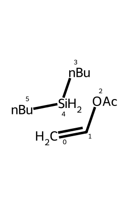 C=COC(C)=O.CCCC[SiH2]CCCC